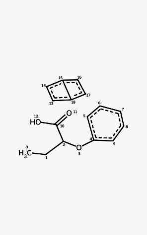 CCC(Oc1ccccc1)C(=O)O.c1cc2ccc1-2